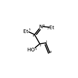 C=CC(O)C(CC)=NCC